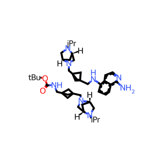 CC(C)N1C[C@@H]2C[C@H]1CN2CC12CC(CNC(=O)OC(C)(C)C)(C1)C2.CC(C)N1C[C@@H]2C[C@H]1CN2CC12CC(CNc3cccc4c(N)nccc34)(C1)C2